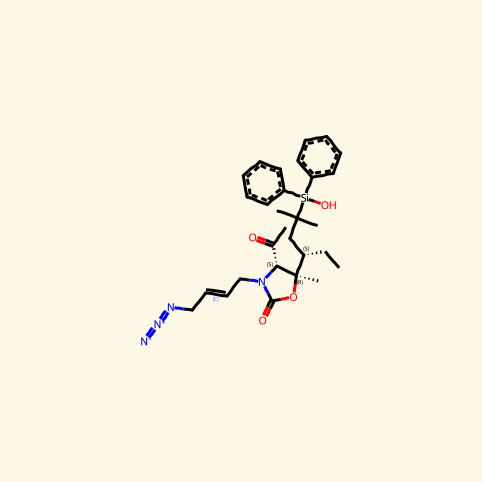 CC[C@@H](CC(C)(C)[Si](O)(c1ccccc1)c1ccccc1)[C@@]1(C)OC(=O)N(C/C=C/CN=[N+]=[N-])[C@@H]1C(C)=O